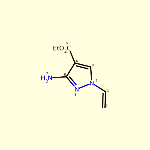 C=Cn1cc(C(=O)OCC)c(N)n1